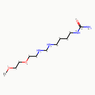 CCOCCOCCNCNCCCCNC(N)=O